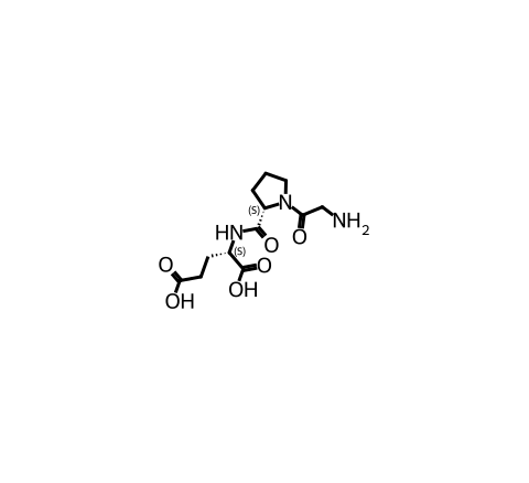 NCC(=O)N1CCC[C@H]1C(=O)N[C@@H](CCC(=O)O)C(=O)O